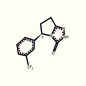 O=c1[nH]nc2n1[C@@H](c1cccc(C(F)(F)F)c1)CC2